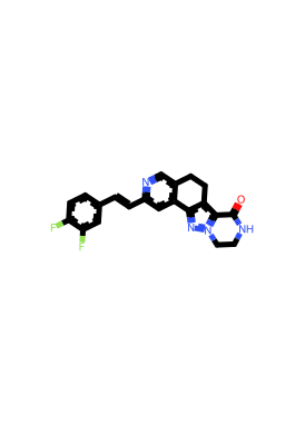 O=C1NCCn2nc3c(c21)CCc1cnc(C=Cc2ccc(F)c(F)c2)cc1-3